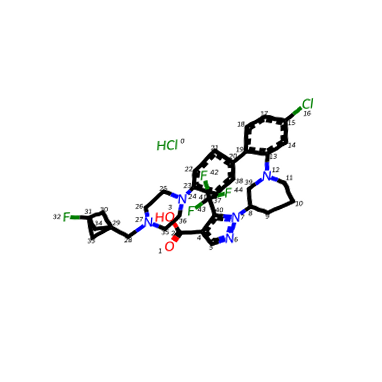 Cl.O=C(O)c1cnn(C2CCCN(c3cc(Cl)ccc3-c3ccc(N4CCN(CC56CC(F)(C5)C6)CC4)cc3)C2)c1C(F)(F)F